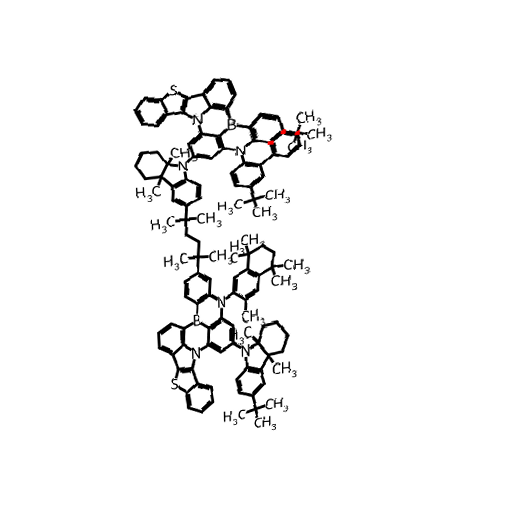 Cc1cc2c(cc1N1c3cc(C(C)(C)CCC(C)(C)c4ccc5c(c4)C4(C)CCCCC4(C)N5c4cc5c6c(c4)-n4c7c(cccc7c7sc8ccccc8c74)B6c4ccc(C(C)(C)C)cc4N5c4ccc(C(C)(C)C)cc4-c4ccccc4)ccc3B3c4c1cc(N1c5ccc(C(C)(C)C)cc5C5(C)CCCCC15C)cc4-n1c4c3cccc4c3sc4ccccc4c31)C(C)(C)CCC2(C)C